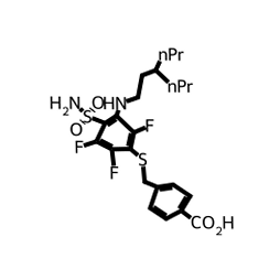 CCCC(CCC)CCNc1c(F)c(SCc2ccc(C(=O)O)cc2)c(F)c(F)c1S(N)(=O)=O